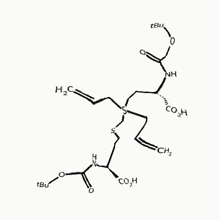 C=CCS(CC=C)(C[C@H](NC(=O)OC(C)(C)C)C(=O)O)SC[C@H](NC(=O)OC(C)(C)C)C(=O)O